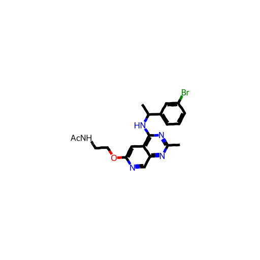 CC(=O)NCCOc1cc2c(NC(C)c3cccc(Br)c3)nc(C)nc2cn1